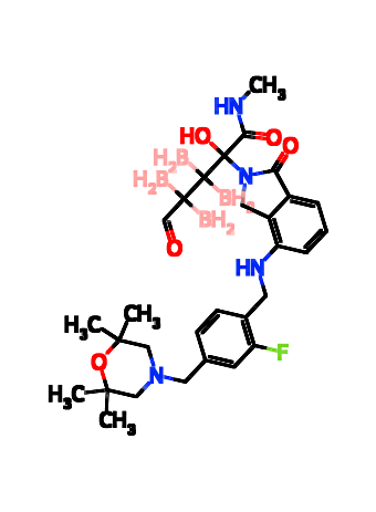 BC(B)(C=O)C(B)(B)C(O)(C(=O)NC)N1Cc2c(NCc3ccc(CN4CC(C)(C)OC(C)(C)C4)cc3F)cccc2C1=O